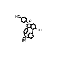 CC(C)CC1(C)c2ccc(cc2)-c2c(O)ccc(S(=O)(=O)c3ccc(O)cc3)c2-c2ccc1cc2